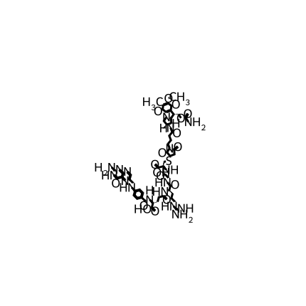 COC1=C(C)C(=O)C2=C(C1=O)[C@H](COC(N)=O)C1[C@H]3[C@@H](CN21)N3C(=O)CCCN1C(=O)CC(SC[C@@H](NC(=O)CNC(=O)[C@@H](CCCNC(=N)N)NC(=O)CC[C@@H](NC(=O)c2ccc(NCc3cnc4nc(N)[nH]c(=O)c4n3)cc2)C(=O)O)C(=O)O)C1=O